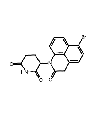 O=C1CCC(N2C(=O)Cc3ccc(Br)c4cccc2c34)C(=O)N1